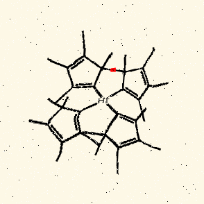 CC1=C(C)C(C)(C)[C]([Hf]([C]2=C(C)C(C)=C(C)C2(C)C)([C]2=C(C)C(C)=C(C)C2(C)C)[C]2=C(C)C(C)=C(C)C2(C)C)=C1C